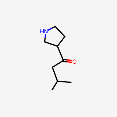 [CH2]C(C)CC(=O)C1CCNC1